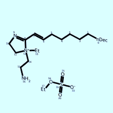 CCCCCCCCCCCCCCC/C=C/C1=NCC[N+]1(CC)CCN.CCOS(=O)(=O)[O-]